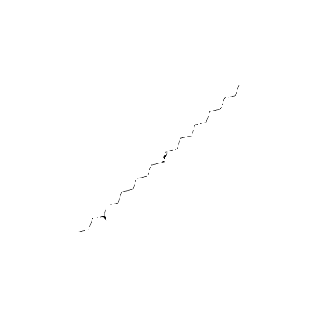 CCCCCCCCCCC=CCCCCCCOC(=O)CCC